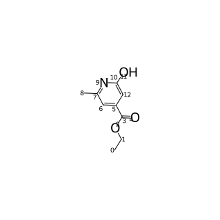 CCOC(=O)c1cc(C)nc(O)c1